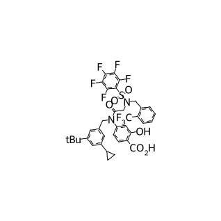 CC(C)(C)c1cc(CN(C(=O)CN(Cc2ccccc2C(F)(F)F)S(=O)(=O)c2c(F)c(F)c(F)c(F)c2F)c2ccc(C(=O)O)c(O)c2)cc(C2CC2)c1